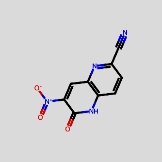 N#Cc1ccc2[nH]c(=O)c([N+](=O)[O-])cc2n1